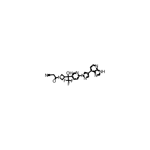 N#CCC(=O)N1CC(C(O)(c2ccc(-n3cc(-c4ccnc5[nH]cnc45)cn3)nc2)C(F)(F)F)C1